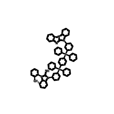 Cc1ccccc1-n1c(=N)n(-c2cccc([Si](c3ccccc3)(c3ccccc3)c3ccc([Si](c4ccccc4)(c4ccccc4)c4cccc(-n5c6ccccc6n6c7ccccc7nc56)c4)cc3)c2)c2ccccc21